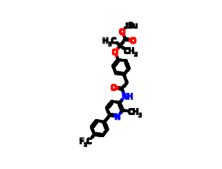 Cc1nc(-c2ccc(C(F)(F)F)cc2)ccc1NC(=O)Cc1ccc(OC(C)(C)C(=O)OC(C)(C)C)cc1